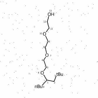 CCCCC(CC(C)(C)C)OCCOCCOCCO